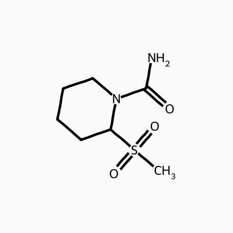 CS(=O)(=O)C1CCCCN1C(N)=O